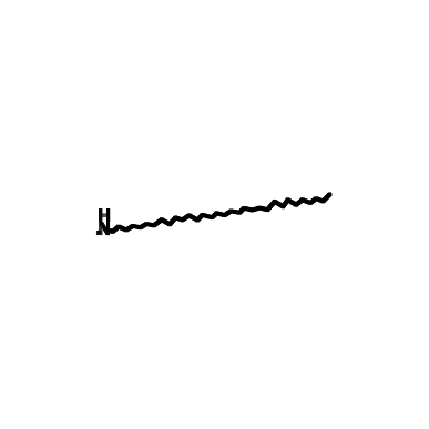 CCCCCCCCCCCCCCCCCCCCCCCCCCCCCCCCNC